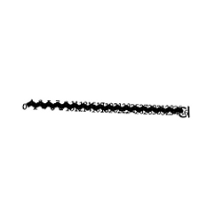 CCCCCCCCCCCCCCCCCCCCCCCCCCCCCCCCCCCCCl